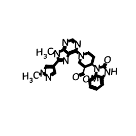 COC(=O)[C@H]1CN(c2ncnc3c2nc(-c2cnn(C)c2)n3C)CC[C@H]1n1c(=O)[nH]c2ccccc21